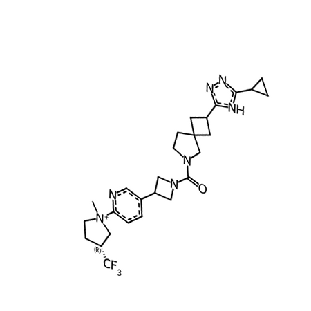 C[N+]1(c2ccc(C3CN(C(=O)N4CCC5(CC(c6nnc(C7CC7)[nH]6)C5)C4)C3)cn2)CC[C@@H](C(F)(F)F)C1